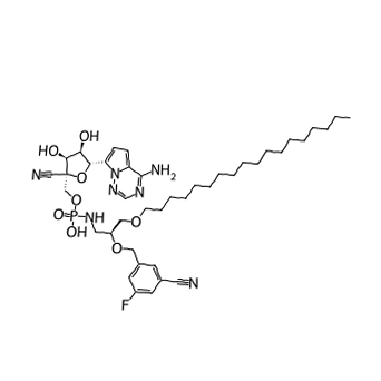 CCCCCCCCCCCCCCCCCCOC[C@H](CNP(=O)(O)OC[C@@]1(C#N)O[C@@H](c2ccc3c(N)ncnn23)[C@H](O)[C@@H]1O)OCc1cc(F)cc(C#N)c1